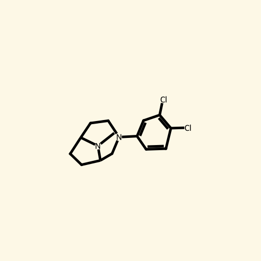 CN1C2CCC1CN(c1ccc(Cl)c(Cl)c1)CC2